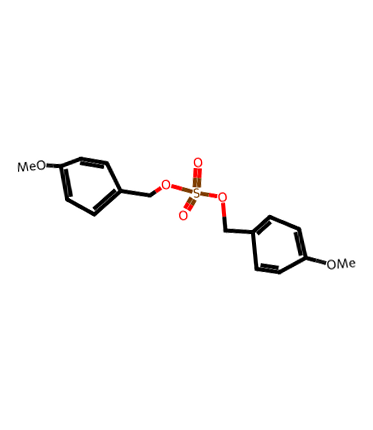 COc1ccc(COS(=O)(=O)OCc2ccc(OC)cc2)cc1